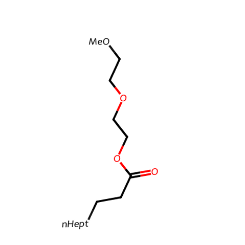 CCCCCCCCCC(=O)OCCOCCOC